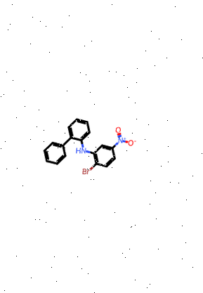 O=[N+]([O-])c1ccc(Br)c(Nc2ccccc2-c2ccccc2)c1